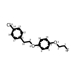 FCCOc1ccc(OCCc2ccc(Cl)cc2)cc1